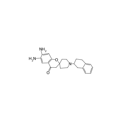 Nc1cc2c(cc1N)C(=O)CC1(CCN(C3CCc4ccccc4C3)CC1)O2